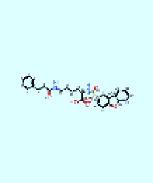 O=C(CCc1ccccc1)NCCCCC(NS(=O)(=O)c1ccc2oc3ccccc3c2c1)C(=O)O